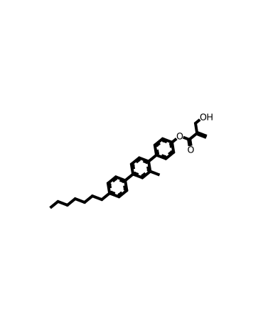 C=C(CO)C(=O)Oc1ccc(-c2ccc(-c3ccc(CCCCCCC)cc3)cc2C)cc1